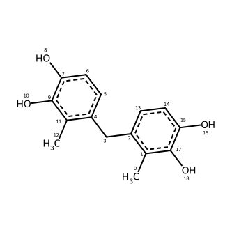 Cc1c(Cc2ccc(O)c(O)c2C)ccc(O)c1O